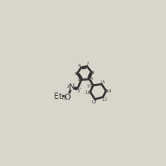 CCO/N=[C]/c1ccccc1C1CCCCC1